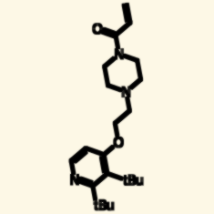 C=CC(=O)N1CCN(CCOc2ccnc(C(C)(C)C)c2C(C)(C)C)CC1